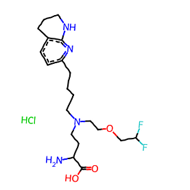 Cl.NC(CCN(CCCCc1ccc2c(n1)NCCC2)CCOCC(F)F)C(=O)O